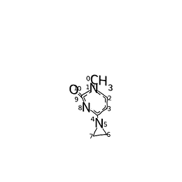 Cn1ccc(N2CC2)nc1=O